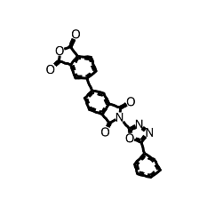 O=C1OC(=O)c2cc(-c3ccc4c(c3)C(=O)N(c3nnc(-c5ccccc5)o3)C4=O)ccc21